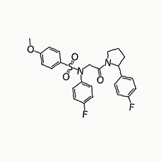 COc1ccc(S(=O)(=O)N(CC(=O)N2CCCC2c2ccc(F)cc2)c2ccc(F)cc2)cc1